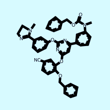 CN1CCN=C1c1cccc(Oc2nc(Oc3cc(C#N)ccc3OCc3ccccc3)cc(-c3cccc(N(C)C(=O)OCc4ccccc4)c3)n2)c1